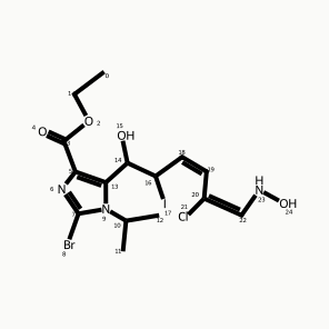 CCOC(=O)c1nc(Br)n(C(C)C)c1C(O)C(I)/C=C\C(Cl)=C/NO